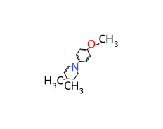 CCOc1ccc(N2C=CC(C)(C)CC2)cc1